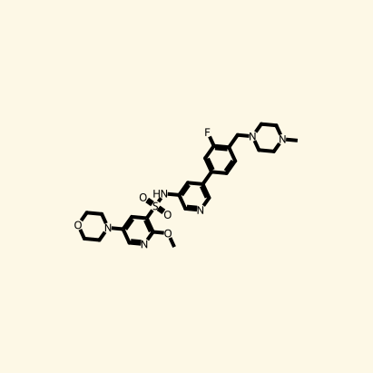 COc1ncc(N2CCOCC2)cc1S(=O)(=O)Nc1cncc(-c2ccc(CN3CCN(C)CC3)c(F)c2)c1